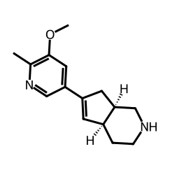 COc1cc(C2=C[C@@H]3CCNC[C@@H]3C2)cnc1C